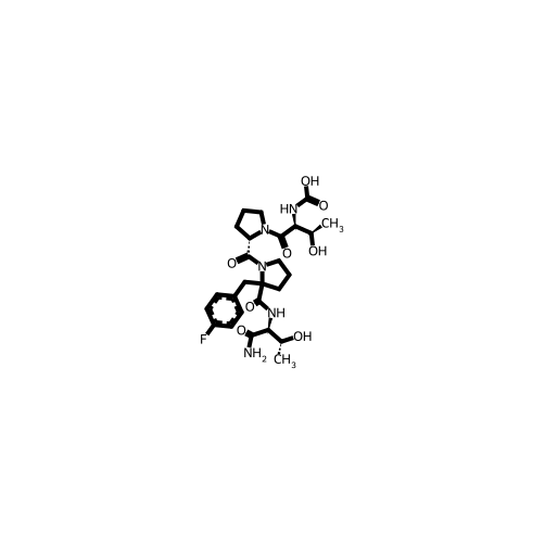 C[C@@H](O)[C@H](NC(=O)C1(Cc2ccc(F)cc2)CCCN1C(=O)[C@@H]1CCCN1C(=O)[C@@H](NC(=O)O)[C@@H](C)O)C(N)=O